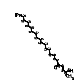 CC(S)/C=C/C(=O)CCCCCCCCCCCCCCCCCC(C)C